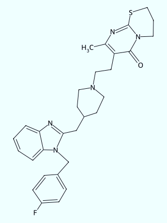 Cc1nc2n(c(=O)c1CCN1CCC(Cc3nc4ccccc4n3Cc3ccc(F)cc3)CC1)CCCS2